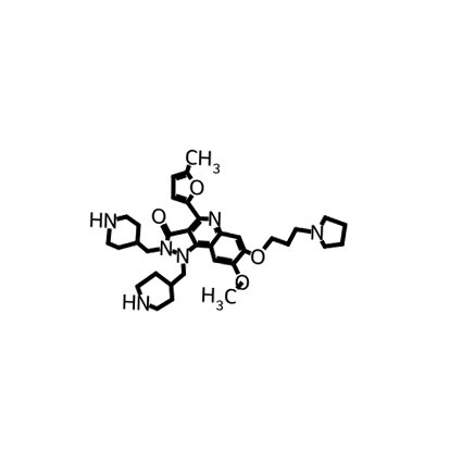 COc1cc2c(cc1OCCCN1CCCC1)nc(-c1ccc(C)o1)c1c(=O)n(CC3CCNCC3)n(CC3CCNCC3)c12